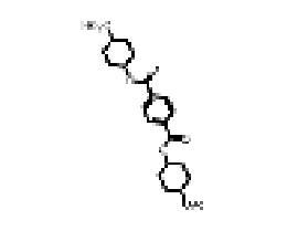 CC(=O)OC1CCC(OC(=O)c2ccc(C(=O)OC3CCC(C(=O)O)CC3)cc2)CC1